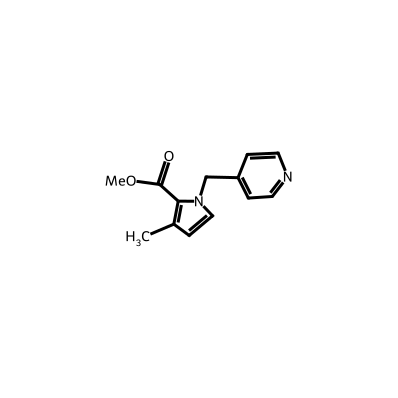 COC(=O)c1c(C)ccn1Cc1ccncc1